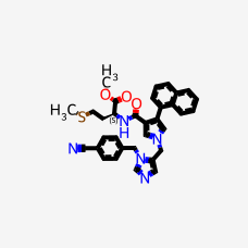 COC(=O)[C@H](CCSC)NC(=O)c1cn(Cc2cncn2Cc2ccc(C#N)cc2)cc1-c1cccc2ccccc12